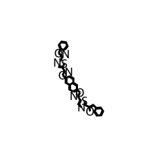 c1ccc2oc(-c3ncc(-c4nc5cc6cc7oc(-c8cnc(-c9nc%10ccccc%10o9)s8)nc7cc6cc5o4)s3)cc2c1